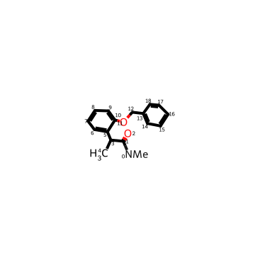 CNC(=O)C(C)c1ccccc1OCc1ccccc1